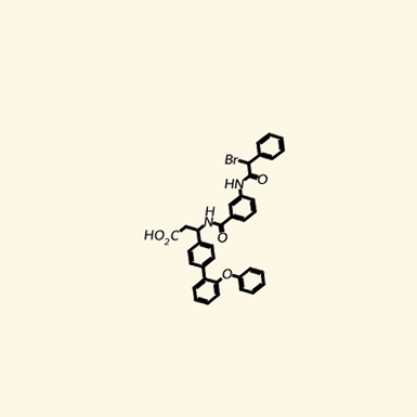 O=C(O)CC(NC(=O)c1cccc(NC(=O)C(Br)c2ccccc2)c1)c1ccc(-c2ccccc2Oc2ccccc2)cc1